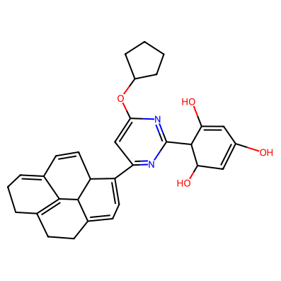 OC1=CC(O)C(c2nc(OC3CCCC3)cc(C3=CC=C4CCC5=C6C(=CCC5)C=CC3C46)n2)C(O)=C1